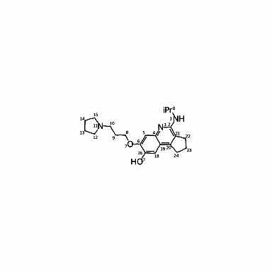 CC(C)Nc1nc2cc(OCCCN3CCCC3)c(O)cc2c2c1CCC2